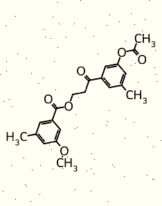 COc1cc(C)cc(C(=O)OCCC(=O)c2cc(C)cc(OC(C)=O)c2)c1